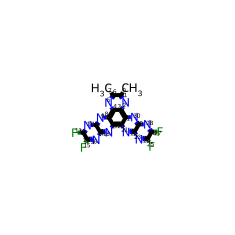 Cc1nc2c(nc1C)c1nc3nc(F)c(F)nc3nc1c1nc3nc(F)c(F)nc3nc21